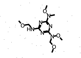 COCNc1nc(N(C)OC)nc(N(COC)OC)n1